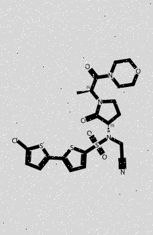 C[C@@H](C(=O)N1CCOCC1)N1CC[C@H](N(CC#N)S(=O)(=O)c2ccc(-c3ccc(Cl)s3)s2)C1=O